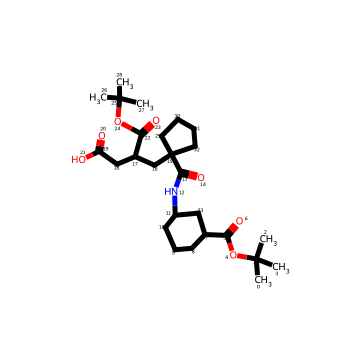 CC(C)(C)OC(=O)C1CCCC(NC(=O)C2(CC(CC(=O)O)C(=O)OC(C)(C)C)CCCC2)C1